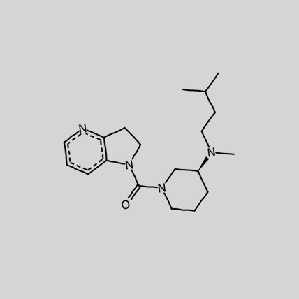 CC(C)CCN(C)[C@H]1CCCN(C(=O)N2CCc3ncccc32)C1